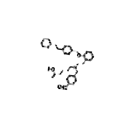 C=C(O)CCCCN(CCc1ccccc1OCc1ccc(CCc2ccccc2)cc1)Cc1ccc(C=O)cc1